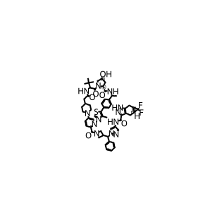 Cc1ncsc1-c1ccc(C(C)NC(=O)[C@@H]2C[C@@H](O)CN2C(=O)C(NC(=O)CC2CCN(c3ccc(C(=O)N4CC(C(c5ccccc5)n5cc(NC(=O)c6n[nH]c7c6C[C@@H]6C(F)(F)[C@]6(C)C7)cn5)C4)nc3)CC2)C(C)(C)C)cc1